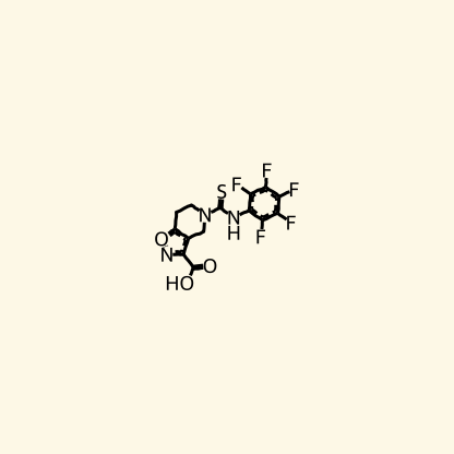 O=C(O)c1noc2c1CN(C(=S)Nc1c(F)c(F)c(F)c(F)c1F)CC2